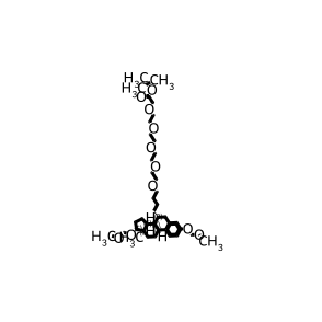 COCOc1ccc2c(c1)C[C@@H](CCCCOCCOCCOCCOCCOCC(=O)OC(C)(C)C)[C@@H]1[C@@H]2CC[C@]2(C)[C@@H](OCOC)CC[C@@H]12